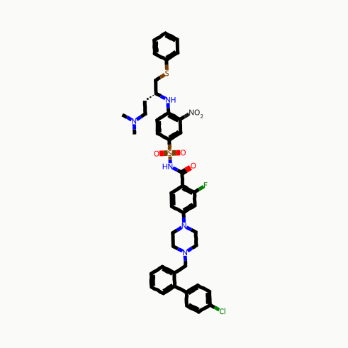 CN(C)CC[C@H](CSc1ccccc1)Nc1ccc(S(=O)(=O)NC(=O)c2ccc(N3CCN(Cc4ccccc4-c4ccc(Cl)cc4)CC3)cc2F)cc1[N+](=O)[O-]